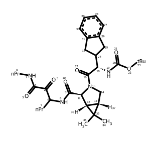 CCCNC(=O)C(=O)C(CCC)NC(=O)[C@@H]1[C@@H]2[C@H](CN1C(=O)[C@@H](NC(=O)OC(C)(C)C)C1Cc3ccccc3C1)C2(C)C